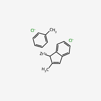 CC1=Cc2ccccc2[CH]1[Zr+2].Cc1ccccc1.[Cl-].[Cl-]